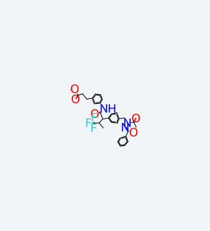 COC(=O)CCc1cccc(NC(=O)C(c2ccc(CN3N=C(c4ccccc4)OCC3=O)cc2)C(C)C(F)(F)F)c1